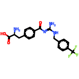 N/C(=N\C(=O)c1ccc(C[C@H](N)C(=O)O)cc1)NCc1ccc(C(F)(F)F)cc1